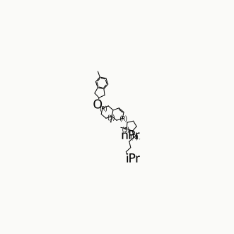 CCC[C@@]1(C)C([C@H](C)CCCC(C)C)CCC1[C@H]1C=CC2C[C@H](OC3Cc4ccc(C)cc4C3)CC[C@@]2(C)C1